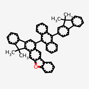 CC1(C)c2ccccc2-c2ccc(-c3c4ccccc4c(-c4cc5c(c6cc7oc8ccccc8c7cc46)C(C)(C)c4ccccc4-5)c4ccccc34)cc21